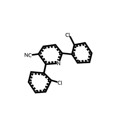 N#Cc1ccc(-c2ccccc2Cl)nc1-c1ccccc1Cl